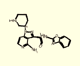 Nc1nccc2c1c(C(=O)Nc1nc3ccccc3o1)nn2[C@@H]1CCCNC1